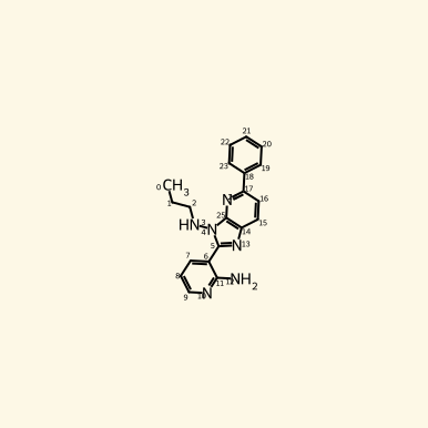 CCCNn1c(-c2cccnc2N)nc2ccc(-c3ccccc3)nc21